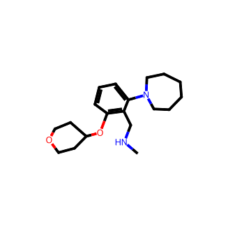 CNCc1c(OC2CCOCC2)cccc1N1CCCCCC1